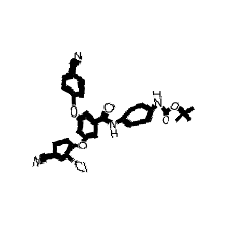 CC(C)(C)OC(=O)NC1CCC(NC(=O)c2cc(Oc3ccc(C#N)cc3)cc(Oc3ccc(C#N)cc3Cl)c2)CC1